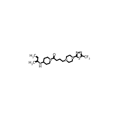 C=CC(=C)NC1CCN(C(=O)CCCN2CCN(c3nnc(C(F)(F)F)s3)CC2)CC1